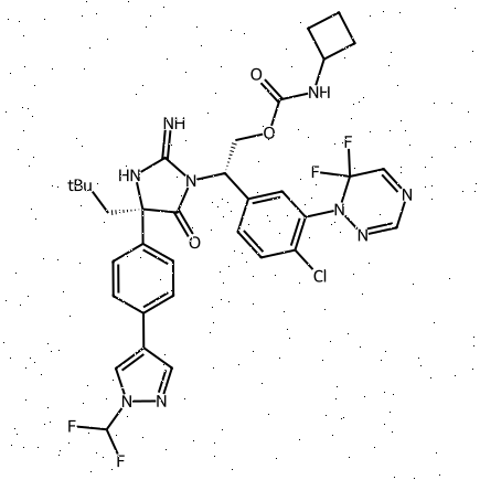 CC(C)(C)C[C@]1(c2ccc(-c3cnn(C(F)F)c3)cc2)NC(=N)N([C@H](COC(=O)NC2CCC2)c2ccc(Cl)c(N3N=CN=CC3(F)F)c2)C1=O